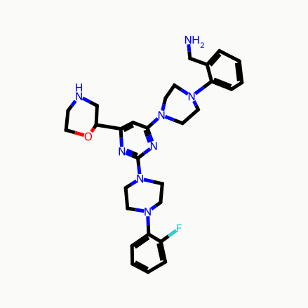 NCc1ccccc1N1CCN(c2cc(C3CNCCO3)nc(N3CCN(c4ccccc4F)CC3)n2)CC1